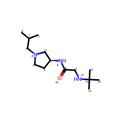 CC(C)CN1CC[C@H](NC(=O)CNC(C)(C)C)C1